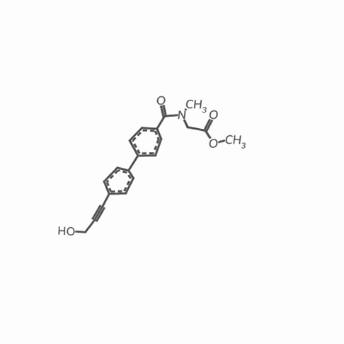 COC(=O)CN(C)C(=O)c1ccc(-c2ccc(C#CCO)cc2)cc1